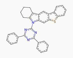 c1ccc(-c2nc(-c3ccccc3)nc(-n3c4c(c5cc6c(cc53)sc3ccccc36)CCCC4)n2)cc1